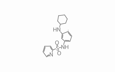 O=S(=O)(Nc1cc[c]c(NC2CCCCC2)c1)c1ccccn1